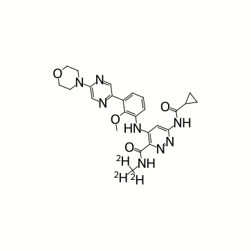 [2H]C([2H])([2H])NC(=O)c1nnc(NC(=O)C2CC2)cc1Nc1cccc(-c2cnc(N3CCOCC3)cn2)c1OC